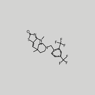 CNC1=NC(=O)SC1=CC1(C)CCN(Cc2ccc(C(F)(F)F)cc2C(F)(F)F)CC1